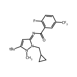 Cn1c(C(C)(C)C)c/c(=N/C(=O)c2cc(C(F)(F)F)ccc2F)n1CC1CC1